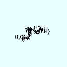 COC(=O)c1csc(COC[C@H]2C(=O)NC[C@@H]2COc2cccc(C(O)C(C)C)c2)n1